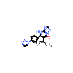 CC(C)c1c(-c2ccc(-n3ccnn3)cc2)[nH]c2ncnn2c1=O